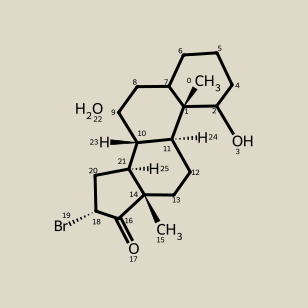 C[C@]12C(O)CCCC1CC[C@@H]1[C@@H]2CC[C@]2(C)C(=O)[C@H](Br)C[C@@H]12.O